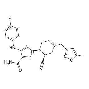 Cc1cc(CN2CC[C@H](n3cc(C(N)=O)c(Nc4ccc(F)cc4)n3)[C@H](C#N)C2)no1